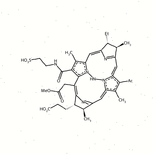 CC[C@H]1/C2=C/c3c(C)c(C(=O)NCCS(=O)(=O)O)c4n3Nn3/c(c(C)c(C(C)=O)/c3=C/C(=N2)[C@@H]1C)=C\C1=NC(=C\4CC(=O)OC)/[C@@H](CCC(=O)O)[C@@H]1C